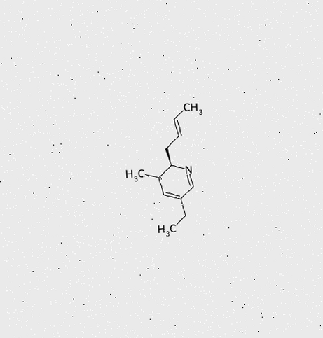 C/C=C/C[C@H]1N=CC(CC)=CC1C